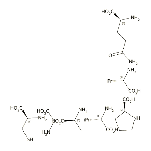 CC(C)[C@H](N)C(=O)O.CC(C)[C@H](N)C(=O)O.C[C@H](N)C(=O)O.NC(=O)CC[C@H](N)C(=O)O.NCC(=O)O.N[C@@H](CS)C(=O)O.O=C(O)[C@@H]1CCCN1